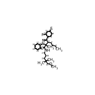 CCCCC1C(c2ccc(F)cc2F)=NN(c2ccccc2)C1(C)C(=O)NCCCC(C)(C)COC